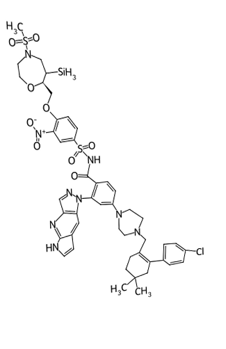 CC1(C)CCC(CN2CCN(c3ccc(C(=O)NS(=O)(=O)c4ccc(OC[C@H]5OCCN(S(C)(=O)=O)CC5[SiH3])c([N+](=O)[O-])c4)c(-n4ncc5nc6[nH]ccc6cc54)c3)CC2)=C(c2ccc(Cl)cc2)C1